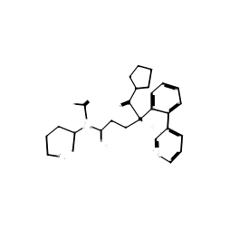 O=C(O)N(C(O)CCC(O)(C(=O)C1CCCC1)c1ccccc1-c1cccnc1)C1CCCNC1